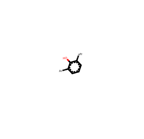 CCCc1cccc(C(C)=O)c1O